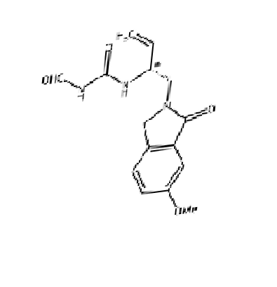 C=C[C@H](CN1Cc2ccc(OC)cc2C1=O)NC(=O)NC=O